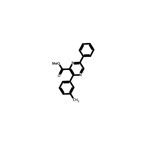 COC(=O)c1nc(-c2ccccc2)cnc1-c1cccc(C)c1